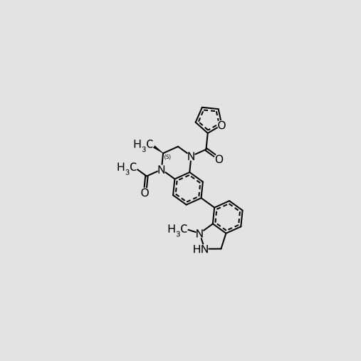 CC(=O)N1c2ccc(-c3cccc4c3N(C)NC4)cc2N(C(=O)c2ccco2)C[C@@H]1C